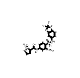 COc1cc(NC(=O)c2ccnn2C)ccc1S(=O)(=O)Nc1ccc2c(c1)OC(F)(F)O2